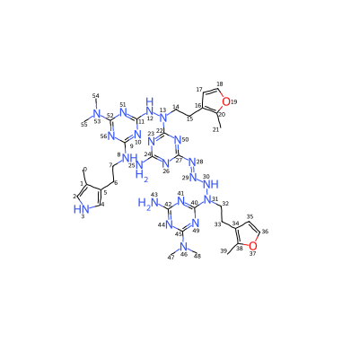 Cc1c[nH]cc1CCNc1nc(NN(CCc2ccoc2C)c2nc(N)nc(N=NNN(CCc3ccoc3C)c3nc(N)nc(N(C)C)n3)n2)nc(N(C)C)n1